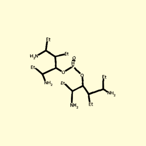 CCC(N)C(CC)C(O[PH](=O)OC(C(N)CC)C(CC)C(N)CC)C(N)CC